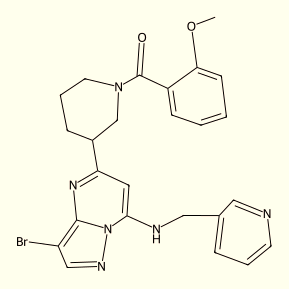 COc1ccccc1C(=O)N1CCCC(c2cc(NCc3cccnc3)n3ncc(Br)c3n2)C1